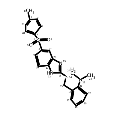 Cc1ccc(S(=O)(=O)c2ccc3[nH]c(SCc4ccccc4N(C)C)nc3c2)cc1